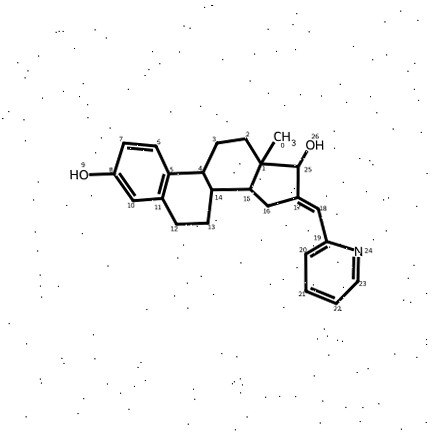 CC12CCC3c4ccc(O)cc4CCC3C1C/C(=C\c1ccccn1)C2O